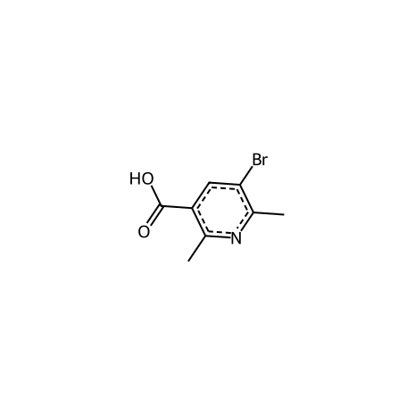 Cc1nc(C)c(C(=O)O)cc1Br